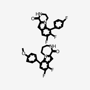 COc1ccc(-c2cc(F)c(F)c3cc4n(c23)CCCNC4=O)cc1.O=C1NCCn2c1cc1cc(F)c(F)c(-c3ccc(F)cc3)c12